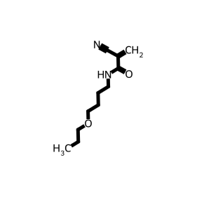 C=C(C#N)C(=O)NCCCCOCCC